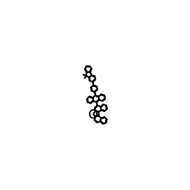 CC1(C)c2ccccc2-c2ccc(-c3ccc(-c4c5ccccc5c(-c5cc6oc7ccc8ccccc8c7c6c6ccccc56)c5ccccc45)cc3)cc21